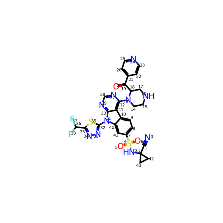 N#CC1(NS(=O)(=O)c2ccc3c4c(N5CCNCC5C(=O)c5ccncc5)ncnc4n(-c4nnc(C(F)F)s4)c3c2)CC1